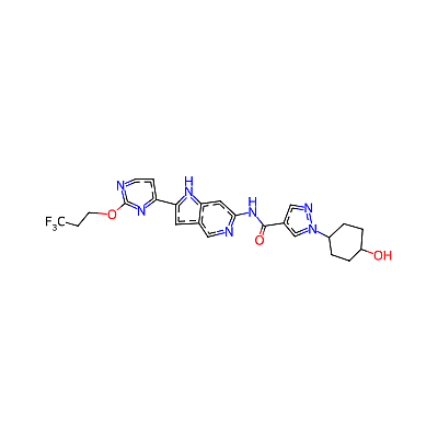 O=C(Nc1cc2[nH]c(-c3ccnc(OCCC(F)(F)F)n3)cc2cn1)c1cnn(C2CCC(O)CC2)c1